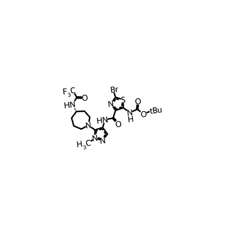 Cn1ncc(NC(=O)c2nc(Br)sc2NC(=O)OC(C)(C)C)c1N1CCC[C@H](NC(=O)C(F)(F)F)CC1